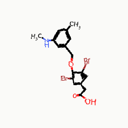 CNc1cc(C)cc(COc2c(Br)cc(CC(=O)O)cc2Br)c1